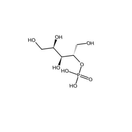 O=P(O)(O)O[C@@H](CO)[C@@H](O)[C@H](O)CO